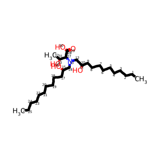 CCCCCCCCCCC(O)CN(CC(O)CCCCCCCCCC)C(C(=O)O)C(C)O